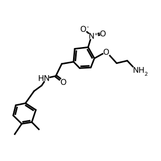 Cc1ccc(CCNC(=O)Cc2ccc(OCCN)c([N+](=O)[O-])c2)cc1C